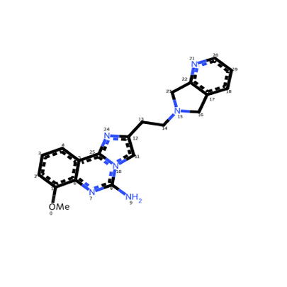 COc1cccc2c1nc(N)n1cc(CCN3Cc4cccnc4C3)nc21